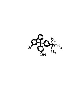 CC(C)(C)c1ccc(C2(c3ccc(O)cc3)c3ccccc3-c3ccc(Br)cc32)cc1